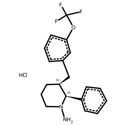 Cl.NN1CCC[C@@H](Cc2cccc(OC(F)(F)F)c2)[C@H]1c1ccccc1